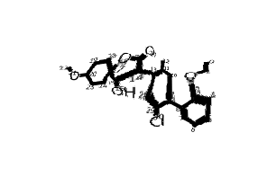 CCOc1ccccc1-c1cc(C)c(C2=C(O)C3(CCC(OC)CC3)OC2=O)cc1Cl